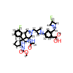 COC(=O)N[C@H]1CCC[C@@H]1[C@](CNC(C)=O)(c1cccc(F)c1)C1CCN(CC2CN(c3ccc(C(=O)O)c(CN4CC(F)C4)c3)C2)CC1